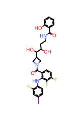 O=C(NCCC(O)C(O)C1CN(C(=O)c2ccc(F)c(F)c2Nc2ccc(I)cc2F)C1)c1ccccc1O